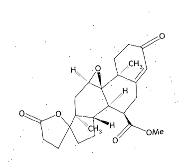 COC(=O)[C@@H]1CC2=CC(=O)CC[C@]2(C)[C@@]23O[C@@H]2C[C@@]2(C)[C@@H](CCC24CCC(=O)O4)[C@H]13